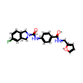 O=C(NCc1ccco1)c1ccc(NC(=O)N2Cc3ccc(F)cc3C2)cc1